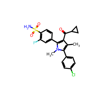 Cc1c(C(=O)C2CC2)c(-c2ccc(S(N)(=O)=O)c(F)c2)n(C)c1-c1ccc(Cl)cc1